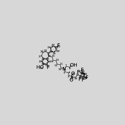 O=S(=O)(CCCN(CCO)CCCCCCC1=C(c2ccc(F)cc2)CCCc2cc(O)c(F)cc21)CCC(F)(C(F)(F)F)C(F)(F)F